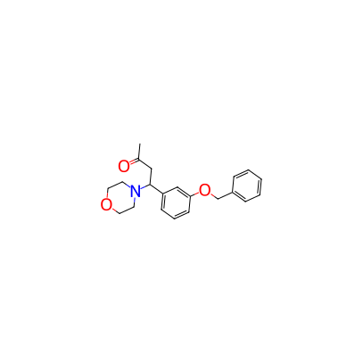 CC(=O)CC(c1cccc(OCc2ccccc2)c1)N1CCOCC1